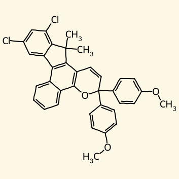 COc1ccc(C2(c3ccc(OC)cc3)C=Cc3c4c(c5ccccc5c3O2)-c2cc(Cl)cc(Cl)c2C4(C)C)cc1